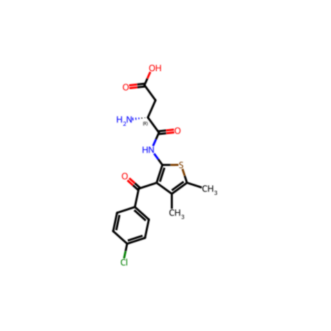 Cc1sc(NC(=O)[C@H](N)CC(=O)O)c(C(=O)c2ccc(Cl)cc2)c1C